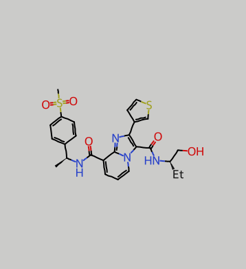 CC[C@H](CO)NC(=O)c1c(-c2ccsc2)nc2c(C(=O)N[C@@H](C)c3ccc(S(C)(=O)=O)cc3)cccn12